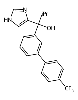 CC(C)C(O)(c1cccc(-c2ccc(C(F)(F)F)cc2)c1)c1c[nH]cn1